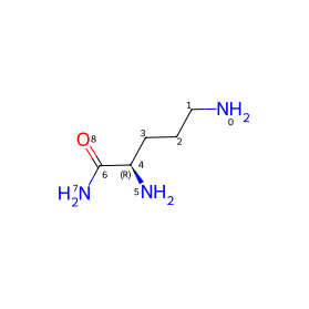 NCCC[C@@H](N)C(N)=O